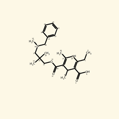 CCC1=C(C(=O)O)C(C)C(C(=O)OCC(C)(C)CN(C)Cc2ccccc2)=C(C)N1